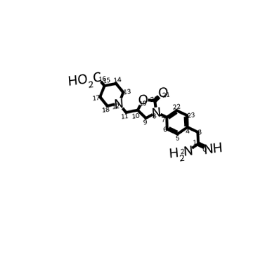 N=C(N)Cc1ccc(N2CC(CN3CCC(C(=O)O)CC3)OC2=O)cc1